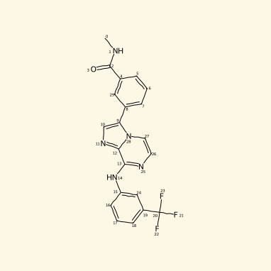 CNC(=O)c1cccc(-c2cnc3c(Nc4cccc(C(F)(F)F)c4)nccn23)c1